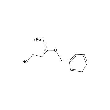 CCCCC[C@@H](CCO)OCc1ccccc1